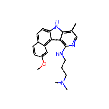 COc1ccc2ccc3[nH]c4c(C)cnc(NCCCN(C)C)c4c3c2c1